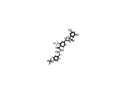 Cc1cc(C2=NOC(c3cc(Cl)cc(Cl)c3)(C(F)(F)F)C2)ccc1C(=O)N[S+]([O-])Cc1ccc(OC(F)(F)F)cc1